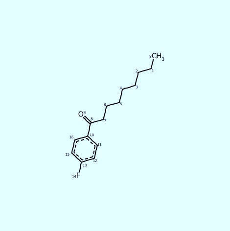 CCCCCCCCC(=O)c1ccc(F)cc1